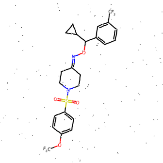 O=S(=O)(c1ccc(OC(F)(F)F)cc1)N1CCC(=NOC(c2cccc(C(F)(F)F)c2)C2CC2)CC1